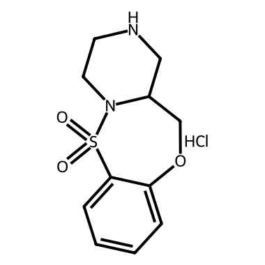 Cl.O=S1(=O)c2ccccc2OCC2CNCCN21